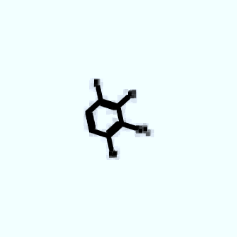 Nc1c(Br)ccc(F)c1Cl